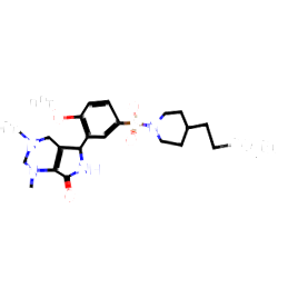 CCCOc1ccc(S(=O)(=O)N2CCC(CCC(=O)OCC)CC2)cc1C1NC(=O)C2=C1CN(CCC)CN2C